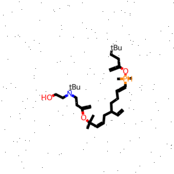 C=CC(C/C=C\C(C)(C)OC(=C)CCN(CCO)C(C)(C)C)CC/C=C/[PH](C)(C)OC(=C)CCC(C)(C)C